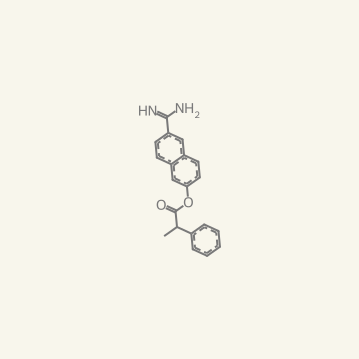 CC(C(=O)Oc1ccc2cc(C(=N)N)ccc2c1)c1ccccc1